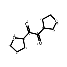 O=C(C(=O)C1CCCO1)C1CCOC1